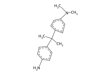 CN(C)c1ccc(C(C)(C)c2ccc(N)cc2)cc1